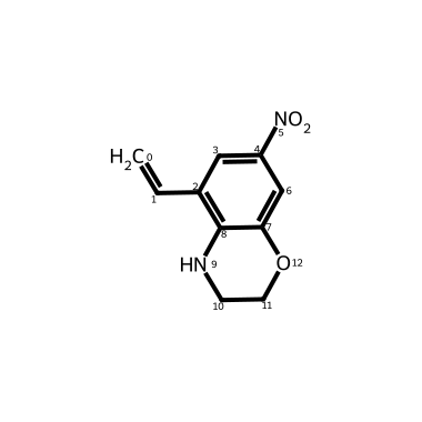 C=Cc1cc([N+](=O)[O-])cc2c1NCCO2